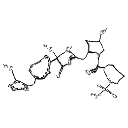 Cc1ncsc1-c1ccc(C2(C)NC(C3CC(O)CN3C(=O)C3CCCN3S(C)(=O)=O)=NC2=O)cc1